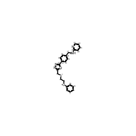 c1ccc(OCCSCc2nnc(-c3ccc(CNc4ccccn4)cc3)o2)cc1